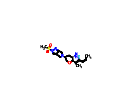 C/C=C\C(F)=C(/C)[C@H]1OC[C@H](N2Cc3cn(S(C)(=O)=O)nc3C2)C[C@@H]1N